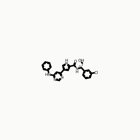 O=C(N[C@H](CO)c1cccc(Cl)c1)c1cc(-c2cc(Nc3ccccc3)ncn2)c[nH]1